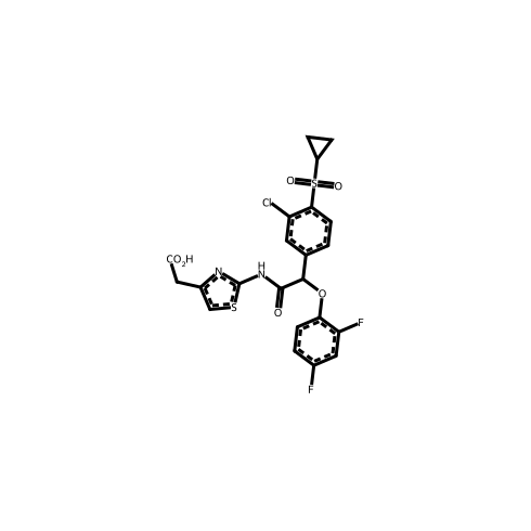 O=C(O)Cc1csc(NC(=O)C(Oc2ccc(F)cc2F)c2ccc(S(=O)(=O)C3CC3)c(Cl)c2)n1